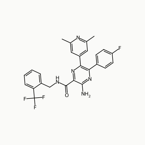 Cc1cc(-c2nc(C(=O)NCc3ccccc3C(F)(F)F)c(N)nc2-c2ccc(F)cc2)cc(C)n1